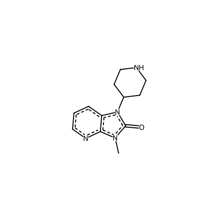 Cn1c(=O)n(C2CCNCC2)c2cccnc21